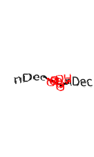 CCCCCCCCCCCCCCCC(=O)OCC(COC(=O)CCCCCCCCCCCCCCC)OC(=O)C(C)O